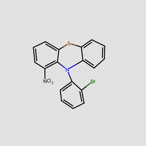 O=[N+]([O-])c1cccc2c1N(c1ccccc1Br)c1ccccc1S2